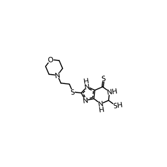 S=C1NC(S)Nc2nc(SCCN3CCOCC3)[nH]c21